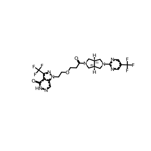 O=C(CCOCCn1nc(C(F)(F)F)c2c(=O)[nH]ncc21)N1C[C@@H]2CN(c3ncc(C(F)(F)F)cn3)C[C@@H]2C1